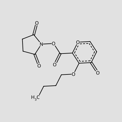 CCCCOc1c(C(=O)ON2C(=O)CCC2=O)occc1=O